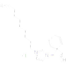 C=CC1(C[n+]2ccn(CCCCCCCCCCCCCCCCCC)c2)C=CC=CC1.[Cl-]